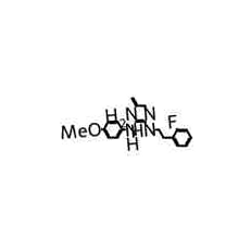 C=C/C=N\C(NCCc1ccccc1F)=C(/N)Nc1ccc(OC)cc1